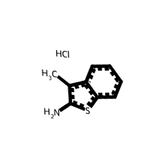 Cc1c(N)sc2ccccc12.Cl